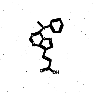 CN(c1ccccc1)c1ncnc2c(/C=C/C(=O)O)cnn12